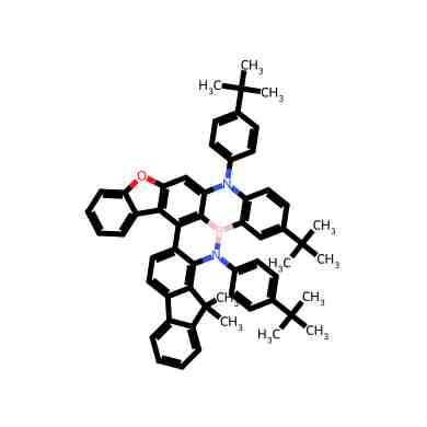 CC(C)(C)c1ccc(N2B3c4cc(C(C)(C)C)ccc4N(c4ccc(C(C)(C)C)cc4)c4cc5oc6ccccc6c5c(c43)-c3ccc4c(c32)C(C)(C)c2ccccc2-4)cc1